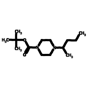 CCCC(C)N1CCN(C(=O)OC(C)(C)C)CC1